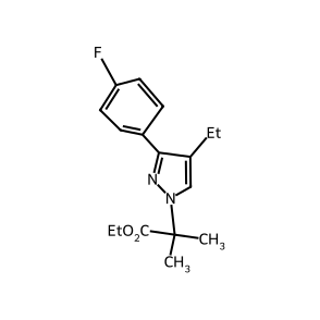 CCOC(=O)C(C)(C)n1cc(CC)c(-c2ccc(F)cc2)n1